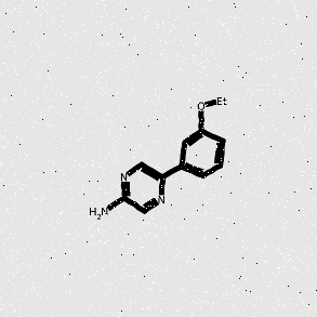 CCOc1cccc(-c2cnc(N)cn2)c1